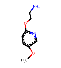 COc1ccc(OCCN)nc1